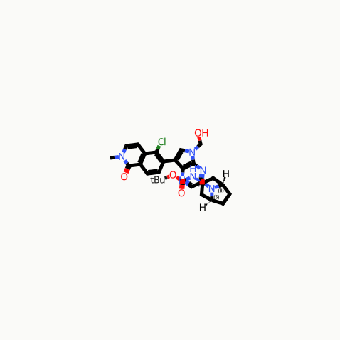 Cn1ccc2c(Cl)c(-c3cn(CO)c4nc(N5[C@@H]6CC[C@H]5C[C@@H](NC(=O)OC(C)(C)C)C6)cnc34)ccc2c1=O